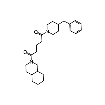 O=C(CCCC(=O)N1CCC2CCCCC2C1)N1CCC(Cc2ccccc2)CC1